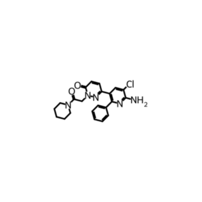 Nc1nc(-c2ccccc2)c(-c2ccc(=O)n(CC(=O)N3CCCCC3)n2)cc1Cl